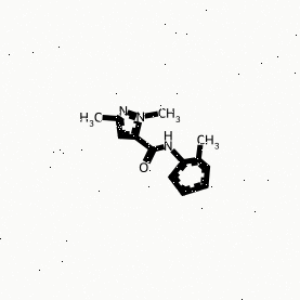 Cc1cc(C(=O)Nc2ccccc2C)n(C)n1